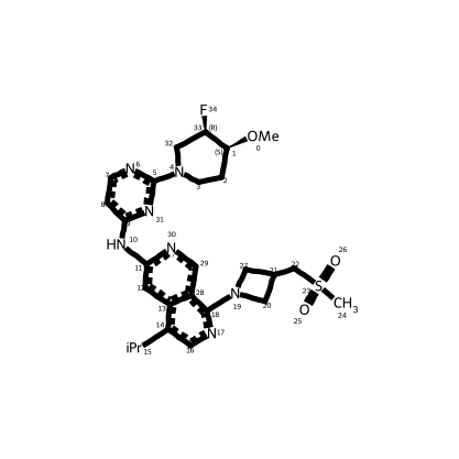 CO[C@H]1CCN(c2nccc(Nc3cc4c(C(C)C)cnc(N5CC(CS(C)(=O)=O)C5)c4cn3)n2)C[C@H]1F